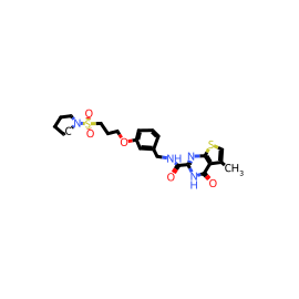 Cc1csc2nc(C(=O)NCc3cccc(OCCCS(=O)(=O)N4CCCCC4)c3)[nH]c(=O)c12